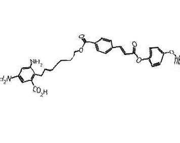 CCCCOc1ccc(OC(=O)C=Cc2ccc(C(=O)OCCCCCCc3c(N)cc(N)cc3C(=O)O)cc2)cc1